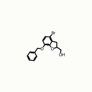 OCC1Cc2c(Br)ccc(OCc3ccccc3)c2O1